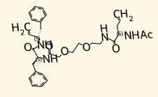 C=CC[C@H](NC(C)=O)C(=O)NCCOCCOCC(=O)N[C@@H](Cc1ccccc1)C(=O)N[C@H](C=C)Cc1ccccc1